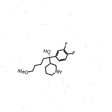 COCCCC[C@@](O)(c1ccc(F)c(F)c1)C1CCCNC1